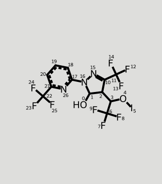 OC1C(C(OI)C(F)(F)F)C(C(F)(F)F)=NN1c1cccc(C(F)(F)F)n1